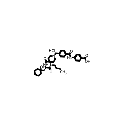 CCCCN1C(=O)[C@@H](CC2(O)CCCCC2)NC(=O)C12CCN(Cc1ccc(C(=O)Nc3ccc(C(=O)O)cc3)cc1)CC2.Cl